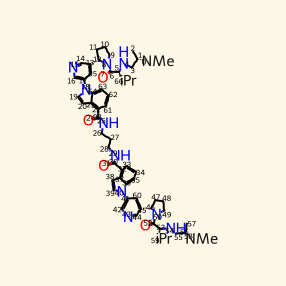 CN[C@@H](C)CN[C@H](C(=O)N1CCC[C@H]1c1cncc(-n2ccc3c(C(=O)NCCCNC(=O)c4cccc5c4ccn5-c4cncc([C@@H]5CCCN5C(=O)[C@@H](NC[C@H](C)NC)C(C)C)c4)cccc32)c1)C(C)C